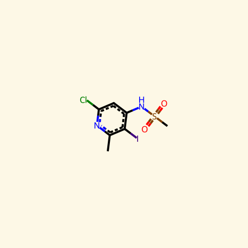 Cc1nc(Cl)cc(NS(C)(=O)=O)c1I